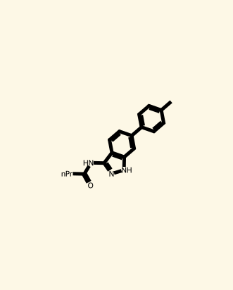 CCCC(=O)Nc1n[nH]c2cc(-c3ccc(C)cc3)ccc12